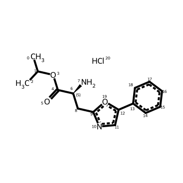 CC(C)OC(=O)[C@@H](N)Cc1ncc(-c2ccccc2)o1.Cl